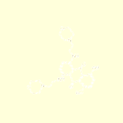 O=C1c2c(O)ccc(O)c2C(=O)c2c(NCCN3CCOCC3)ccc(NCCN3CCOCC3)c21